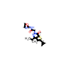 CC(C)c1nn(CC(=O)Nc2ncco2)c(=O)c2sc(C3CC3)cc12